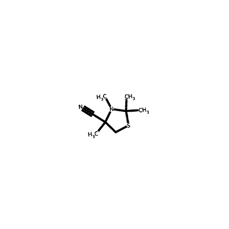 CN1C(C)(C#N)CSC1(C)C